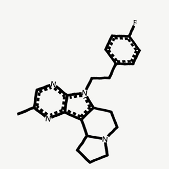 Cc1cnc2c(n1)c1c(n2CCc2ccc(F)cc2)CCN2CCCC12